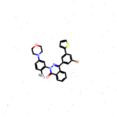 O=c1c2ccccc2c(-c2cc(Br)cc(-c3cccs3)c2)nn1-c1cc(N2CCOCC2)ccc1[N+](=O)[O-]